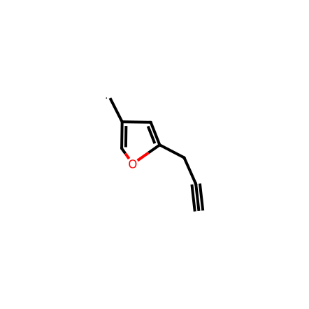 C#CCc1cc([CH2])co1